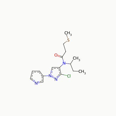 CCC(C)N(C(=O)CCSC)c1cn(-c2cccnc2)nc1Cl